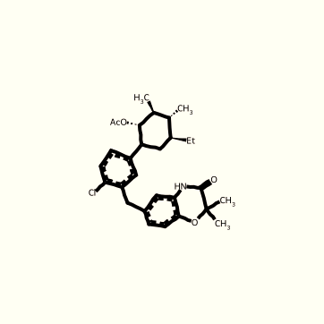 CC[C@H]1CC(c2ccc(Cl)c(Cc3ccc4c(c3)NC(=O)C(C)(C)O4)c2)[C@H](OC(C)=O)[C@@H](C)[C@@H]1C